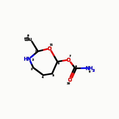 CC(C)(C)C1NCCCC(OC(N)=O)O1